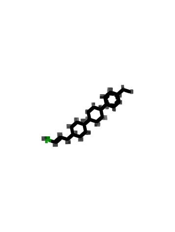 CCc1ccc(C2CCC(C3CCC(CC=CF)CC3)CC2)cc1